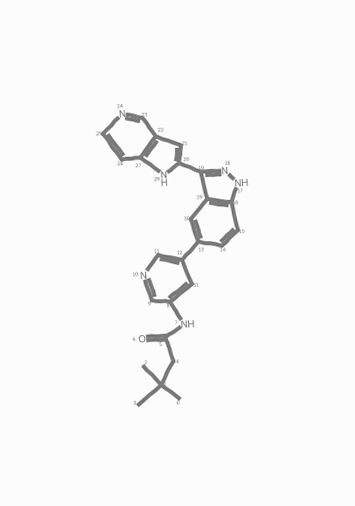 CC(C)(C)CC(=O)Nc1cncc(-c2ccc3[nH]nc(-c4cc5cnccc5[nH]4)c3c2)c1